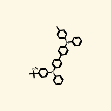 CCCC(C)(C)c1ccc(N(c2ccccc2)c2ccc(-c3ccc(N(c4ccccc4)c4ccc(C)cc4)cc3)cc2)cc1